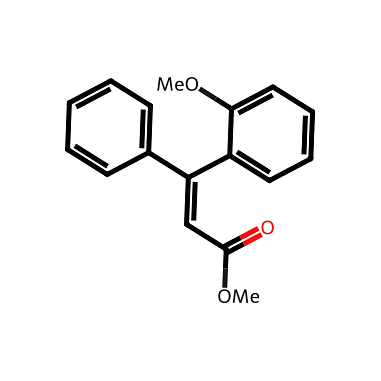 COC(=O)C=C(c1ccccc1)c1ccccc1OC